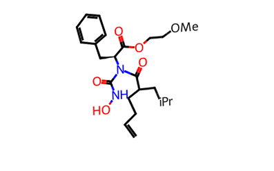 C=CCCC(CC(C)C)C(=O)N(C(=O)NO)[C@@H](Cc1ccccc1)C(=O)OCCOC